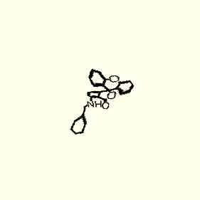 O=C1OC2(c3ccccc3Oc3ccccc32)c2cccc(NCC3CCCCC3)c21